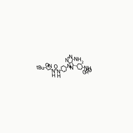 CC(C)(C)c1cc(NC(=O)Nc2ccc(-n3nc(-c4ccc(NS(C)(=O)=O)cc4)c4c(N)ncnc43)cc2)no1